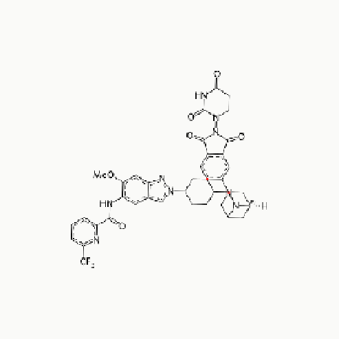 COc1cc2nn(C3CCC(CN4C5C[C@@H]4CN(c4ccc6c(c4)C(=O)N(N4CCC(=O)NC4=O)C6=O)C5)CC3)cc2cc1NC(=O)c1cccc(C(F)(F)F)n1